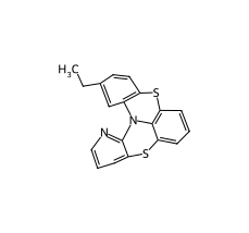 CCc1ccc2c(c1)N1c3ncccc3Sc3cccc(c31)S2